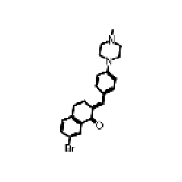 CN1CCN(c2ccc(/C=C3\CCc4ccc(Br)cc4C3=O)cc2)CC1